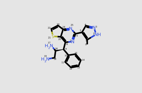 Cc1[nH]ncc1-c1nc([C@@H](c2ccccc2)C(N)CN)c2sccc2n1